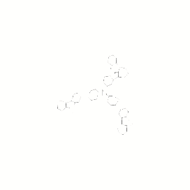 c1ccc2c(c1)oc1cc(-c3ccc(N(c4ccc(-c5ccc6sc7ccccc7c6c5)cc4)c4ccc5c(c4)c4cccc6c7ccccc7n5c64)cc3)ccc12